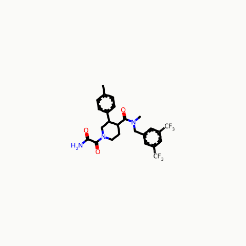 Cc1ccc(C2CN(C(=O)C(N)=O)CCC2C(=O)N(C)Cc2cc(C(F)(F)F)cc(C(F)(F)F)c2)cc1